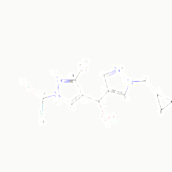 OC(c1cnn(CC2CC2)c1)c1cn(C(F)F)nc1Br